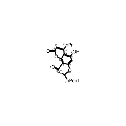 CCCCCC1CC(=O)c2c(cc(O)c3c(CCC)cc(=O)oc23)O1